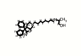 CC(CO)NCCCCCCCCN1CCC(C(C(N)=O)(c2ccccc2)c2ccccc2)CC1